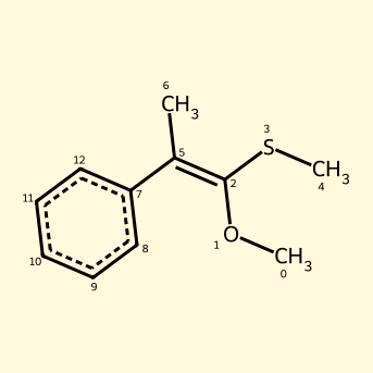 CO/C(SC)=C(/C)c1ccccc1